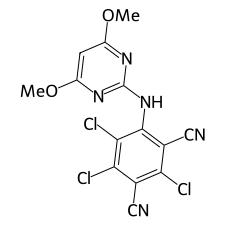 COc1cc(OC)nc(Nc2c(Cl)c(Cl)c(C#N)c(Cl)c2C#N)n1